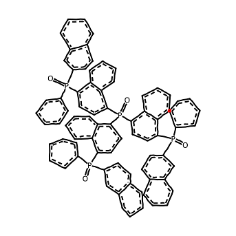 O=P(c1ccccc1)(c1ccc2ccccc2c1)c1ccc(P(=O)(c2ccc(P(=O)(c3ccccc3)c3ccc4ccccc4c3)c3ccccc23)c2ccc(P(=O)(c3ccccc3)c3ccc4ccccc4c3)c3ccccc23)c2ccccc12